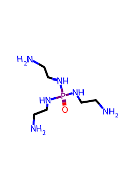 NCCNP(=O)(NCCN)NCCN